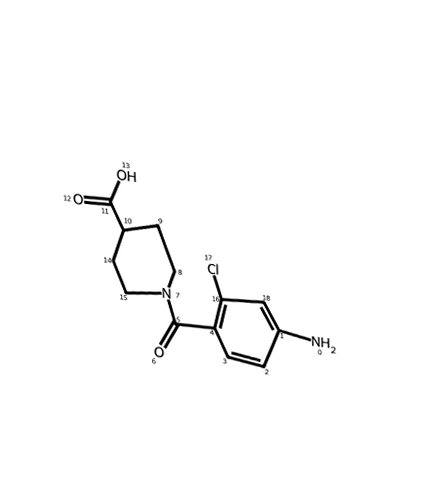 Nc1ccc(C(=O)N2CCC(C(=O)O)CC2)c(Cl)c1